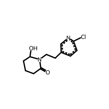 O=C1CCCC(O)N1CCc1ccc(Cl)nc1